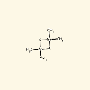 [CH3][Sn]1([CH3])[S][Sn]([CH3])([CH3])[S]1